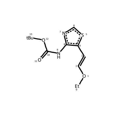 CCOC=Cc1scnc1NC(=O)OC(C)(C)C